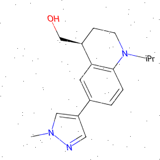 CC(C)N1CC[C@H](CO)c2cc(-c3cnn(C)c3)ccc21